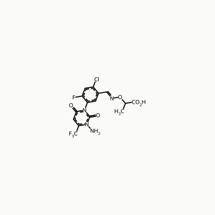 CC(O/N=C/c1cc(-n2c(=O)cc(C(F)(F)F)n(N)c2=O)c(F)cc1Cl)C(=O)O